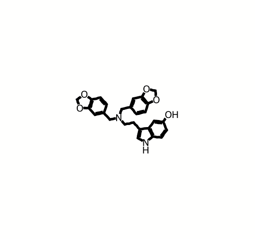 Oc1ccc2[nH]cc(CCN(Cc3ccc4c(c3)OCO4)Cc3ccc4c(c3)OCO4)c2c1